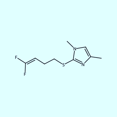 Cc1cn(C)c(SCCC=C(F)F)n1